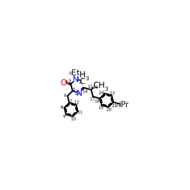 CCN(C)C(=O)C(Cc1ccccc1)/N=C/C(C)Cc1ccc(C(C)C)cc1